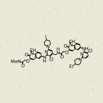 CCC1CCN(c2ccc(Cl)c(Nc3ccc4c(c3)cc(OCC(=O)NCc3cc(N5CCC(I)CC5)nc(Nc5ccc6c(c5)cc(OCC(=O)NC)c(=O)n6C)c3Cl)c(=O)n4C)n2)CC1